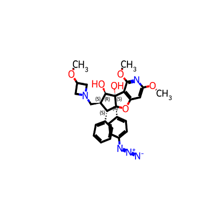 COc1cc2c(c(OC)n1)[C@]1(O)[C@H](O)[C@H](CN3CC(OC)C3)[C@@H](c3ccccc3)[C@]1(c1ccc(N=[N+]=[N-])cc1)O2